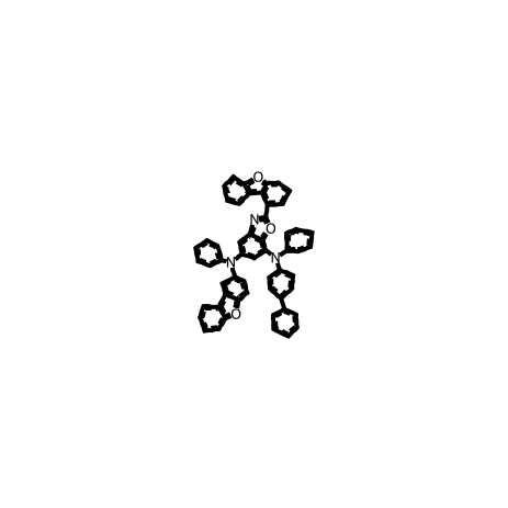 c1ccc(-c2ccc(N(c3ccccc3)c3cc(N(c4ccccc4)c4ccc5oc6ccccc6c5c4)cc4nc(-c5cccc6oc7ccccc7c56)oc34)cc2)cc1